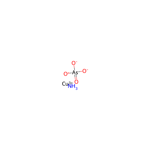 N.O=[As]([O-])([O-])[O-].[Cu+3]